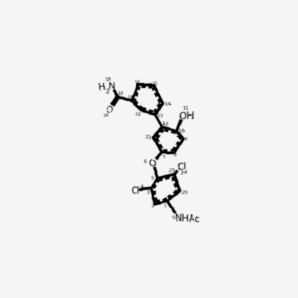 CC(=O)Nc1cc(Cl)c(Oc2ccc(O)c(-c3cccc(C(N)=O)c3)c2)c(Cl)c1